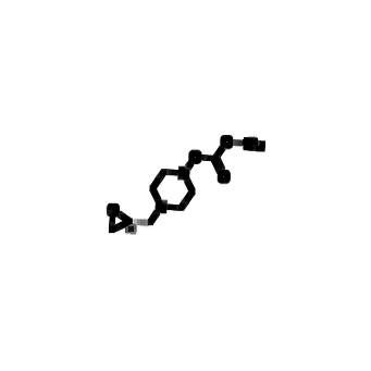 CC(C)(C)OC(=O)ON1CCN(C[C@@H]2CO2)CC1